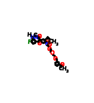 CNC(=O)c1c(-c2ccc(F)cc2)oc2cc(N(CCOCCOCCOCc3cccc(C(C)=O)c3)S(C)(=O)=O)c(C3CC3)cc12